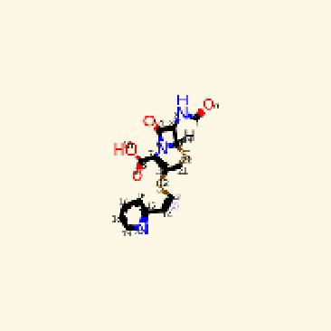 O=CNC1C(=O)N2C(C(=O)O)=C(S/C=C\c3ccccn3)CS[C@@H]12